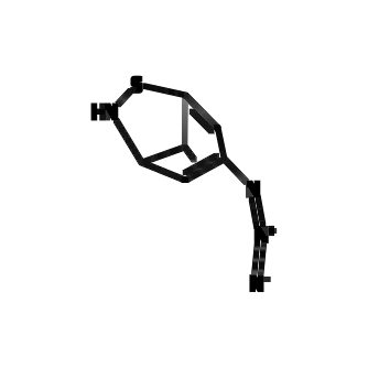 CC1C2=CC(N=[N+]=[N-])=CC1NS2